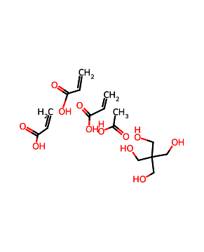 C=CC(=O)O.C=CC(=O)O.C=CC(=O)O.CC(=O)O.OCC(CO)(CO)CO